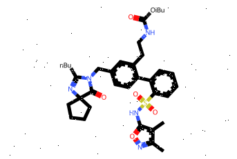 CCCCC1=NC2(CCCC2)C(=O)N1Cc1ccc(-c2ccccc2S(=O)(=O)Nc2onc(C)c2C)c(CCNC(=O)OCC(C)C)c1